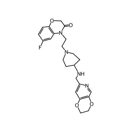 O=C1COc2ccc(F)cc2N1CCN1CCC(NCc2cc3c(cn2)OCCO3)CC1